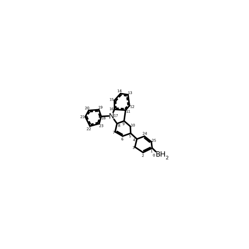 BC1=CCC(C2C=CC3C(C2)c2ccccc2N3c2ccccc2)C=C1